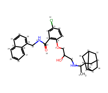 CC(NCC(O)COc1ccc(Cl)cc1C(=O)NCc1cccc2ccccc12)C12CC3CC(CC(C3)C1)C2